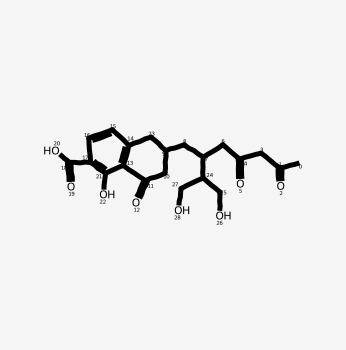 CC(=O)CC(=O)CC(CC1CC(=O)c2c(ccc(C(=O)O)c2O)C1)C(CO)CO